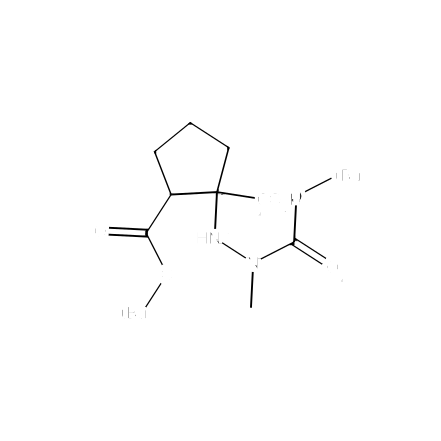 CN(NC1(C(=O)O)CCCC1C(=O)OC(C)(C)C)C(=O)OC(C)(C)C